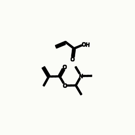 C=C(C)C(=O)OC(C)N(C)C.C=CC(=O)O